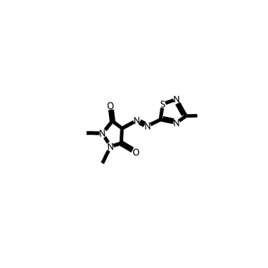 Cc1nsc(N=NC2C(=O)N(C)N(C)C2=O)n1